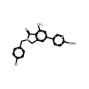 CCc1ccc(CN2Cc3cc(-c4ccc(OC)nc4)cc(C)c3C2=O)cc1